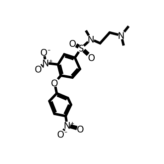 CN(C)CCN(C)S(=O)(=O)c1ccc(Oc2ccc([N+](=O)[O-])cc2)c([N+](=O)[O-])c1